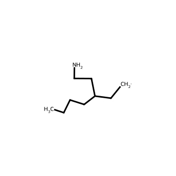 [CH2]CC(CCN)CCCC